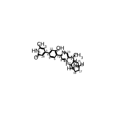 Cc1cc(-c2ccc(-c3cnc(N(C)[C@H]4C[C@@H]5CC[C@@H](N5)[C@H]4F)cn3)c(O)c2)cc(=O)[nH]1